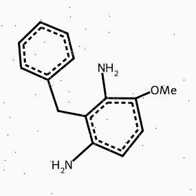 COc1ccc(N)c(Cc2ccccc2)c1N